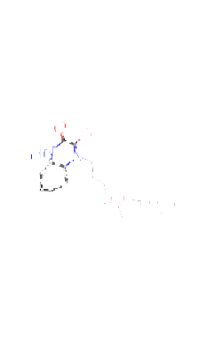 CCOC(=O)OC(C)OCCCn1c(=O)c(=O)[nH]c2ccccc21